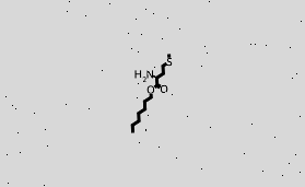 CCCCCCCOC(=O)[C@@H](N)CCSC